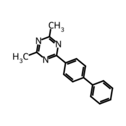 Cc1nc(C)nc(-c2ccc(-c3ccccc3)cc2)n1